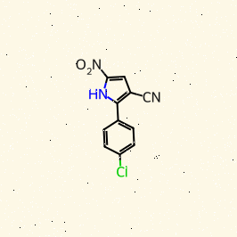 N#Cc1cc([N+](=O)[O-])[nH]c1-c1ccc(Cl)cc1